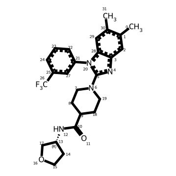 Cc1cc2nc(N3CCC(C(=O)N[C@@H]4CCOC4)CC3)n(-c3cccc(C(F)(F)F)c3)c2cc1C